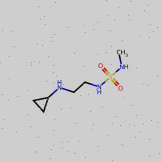 CNS(=O)(=O)NCCNC1CC1